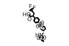 C=CS(=O)(=O)NC[C@H]1CCN(S(=O)(=O)c2ccc(C(CC3CC3(F)F)C(=O)O)cc2)C1